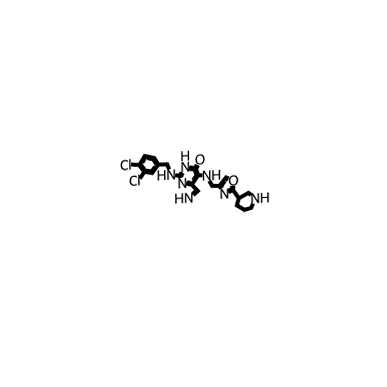 N=Cc1nc(NCc2ccc(Cl)c(Cl)c2)[nH]c(=O)c1NCc1coc(C2CCCNC2)n1